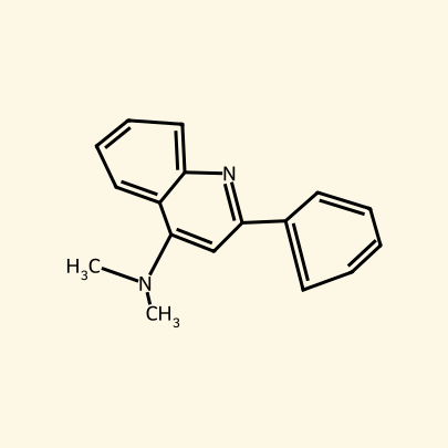 CN(C)c1cc(-c2ccccc2)nc2ccccc12